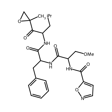 COCC(NC(=O)c1ccno1)C(=O)NC(Cc1ccccc1)C(=O)NC(CC(C)C)C(=O)C1(C)CO1